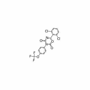 O=c1nc(-c2c(Cl)cccc2Cl)oc(=O)n1-c1ccc(OC(F)(F)F)cc1